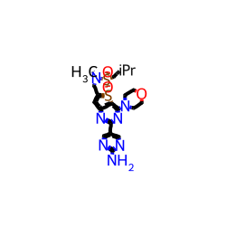 CC(C)CS(=O)(=O)N(C)Cc1cc2nc(-c3cnc(N)nc3)nc(N3CCOCC3)c2s1